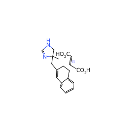 CC1(CC2=Cc3ccccc3CC2)CNC=N1.O=C(O)/C=C/C(=O)O